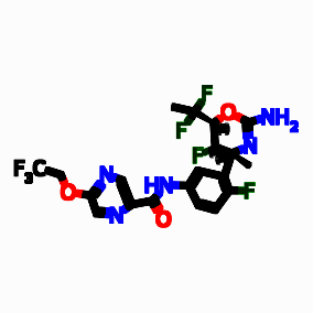 CC(F)(F)[C@H]1OC(N)=N[C@](C)(c2cc(NC(=O)c3cnc(OCC(F)(F)F)cn3)ccc2F)[C@H]1F